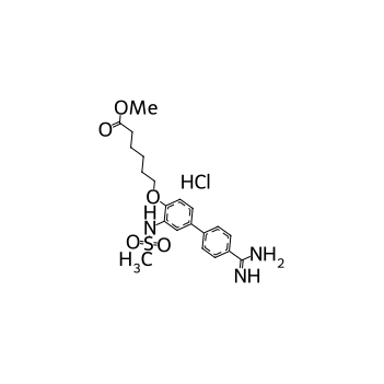 COC(=O)CCCCCOc1ccc(-c2ccc(C(=N)N)cc2)cc1NS(C)(=O)=O.Cl